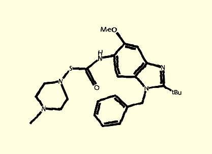 COc1cc2nc(C(C)(C)C)n(Cc3ccccc3)c2cc1NC(=O)SN1CCN(C)CC1